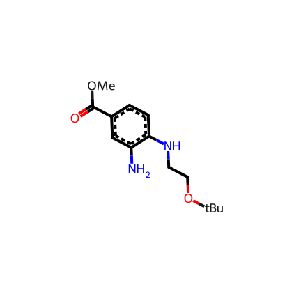 COC(=O)c1ccc(NCCOC(C)(C)C)c(N)c1